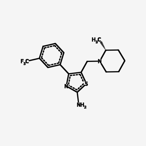 C[C@@H]1CCCCN1Cc1sc(N)nc1-c1cccc(C(F)(F)F)c1